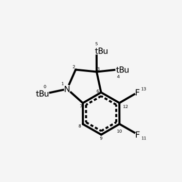 CC(C)(C)N1CC(C(C)(C)C)(C(C)(C)C)c2c1ccc(F)c2F